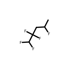 CC(F)CC(F)(F)[C](F)F